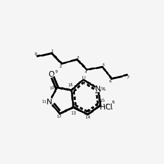 CCCCCCCC.Cl.O=C1N=Cc2ccncc21